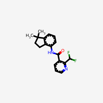 CC1(C)CCc2c(NC(=O)c3cccnc3C(F)F)cccc21